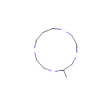 CC1CNCCNCCCNCCN1